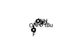 CC(C)(C)OC(=O)N[C@H]1CC[C@@H](CNC(=O)c2ccc(F)cc2)C1